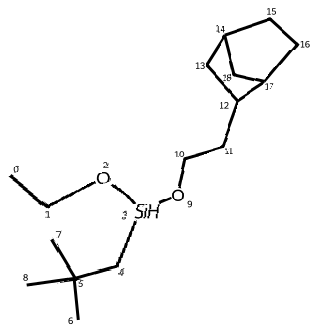 CCO[SiH](CC(C)(C)C)OCCC1CC2CCC1C2